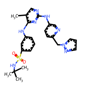 Cc1cnc(Nc2ccc(Cn3cccn3)nc2)nc1Nc1cccc(S(=O)(=O)NC(C)(C)C)c1